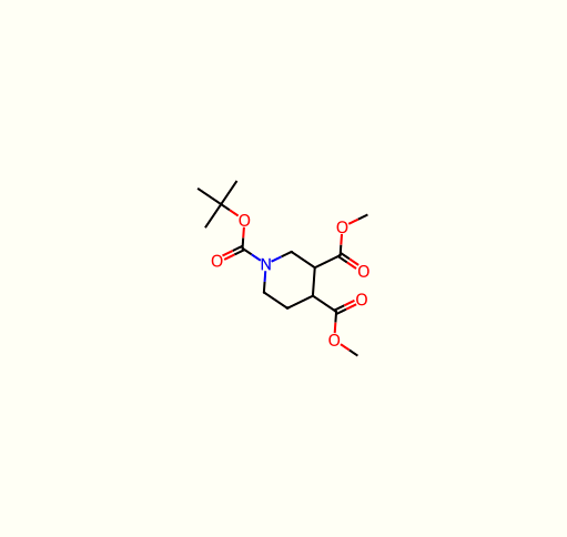 COC(=O)C1CCN(C(=O)OC(C)(C)C)CC1C(=O)OC